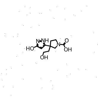 O=C(O)N1CCC(CCO)(c2cc(O)n[nH]2)C1